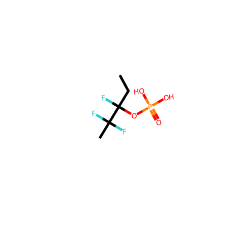 CCC(F)(OP(=O)(O)O)C(C)(F)F